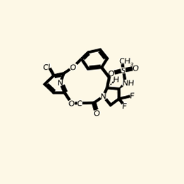 CS(=O)(=O)N[C@@H]1[C@@H]2Cc3cccc(c3)Oc3nc(ccc3Cl)OCC(=O)N2CC1(F)F